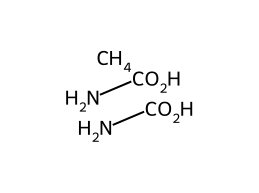 C.NC(=O)O.NC(=O)O